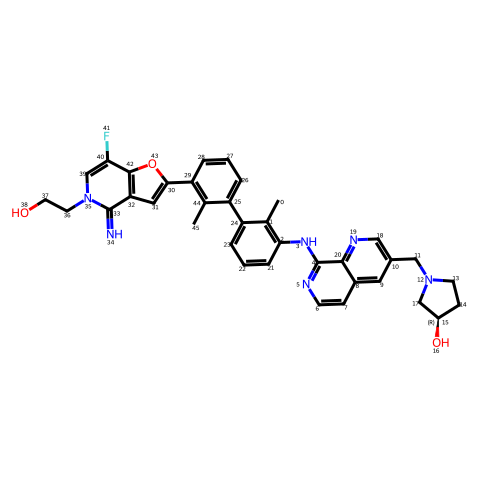 Cc1c(Nc2nccc3cc(CN4CC[C@@H](O)C4)cnc23)cccc1-c1cccc(-c2cc3c(=N)n(CCO)cc(F)c3o2)c1C